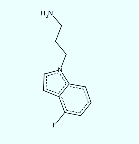 NCCCn1ccc2c(F)cccc21